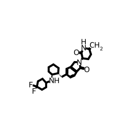 C=C1CCC(N2Cc3cc(C[C@H]4CCCC[C@@H]4NC4CCC(F)(F)CC4)ccc3C2=O)C(=O)N1